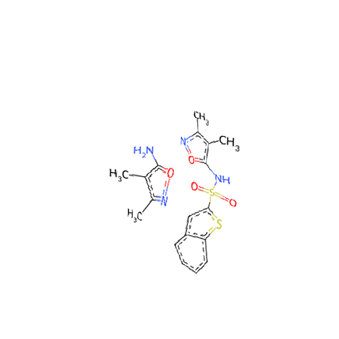 Cc1noc(N)c1C.Cc1noc(NS(=O)(=O)c2cc3ccccc3s2)c1C